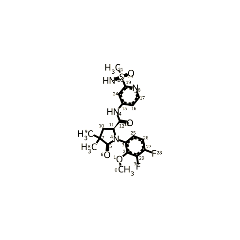 COc1c(N2C(=O)C(C)(C)C[C@H]2C(=O)Nc2ccnc([S@](C)(=N)=O)c2)ccc(F)c1F